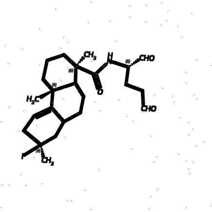 C[C@]1(I)CC=C2C(CCC3[C@](C)(C(=O)N[C@H](C=O)CCC=O)CCC[C@@]23C)C1